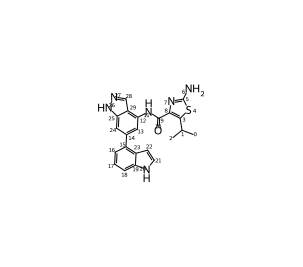 CC(C)c1sc(N)nc1C(=O)Nc1cc(-c2cccc3[nH]ccc23)cc2[nH]ncc12